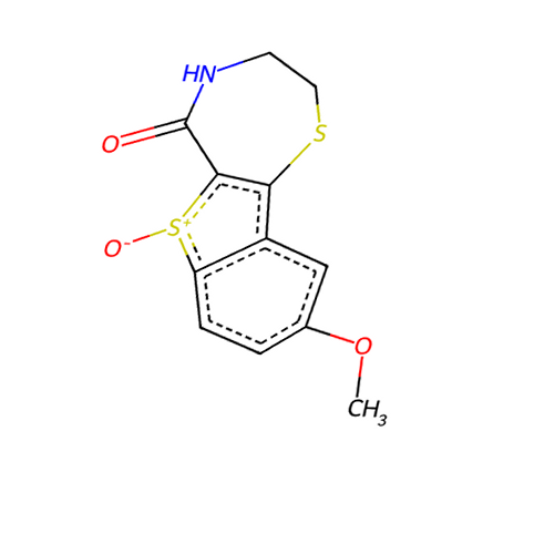 COc1ccc2c(c1)c1c([s+]2[O-])C(=O)NCCS1